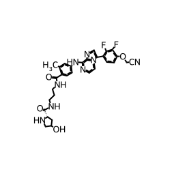 Cc1cc(Nc2nccn3c(-c4ccc(OCC#N)c(F)c4F)cnc23)ccc1C(=O)NCCCNC(=O)[C@@H]1CC(O)CN1